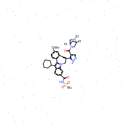 CCC(C)S(=O)(=O)NC(=O)c1ccc2c(C3CCCCC3)c3n(c2c1)CC(c1c(C(=O)N2C[C@@H]4C[C@@H]2CN4CC)cnn1C)=Cc1cc(OC)ccc1-3